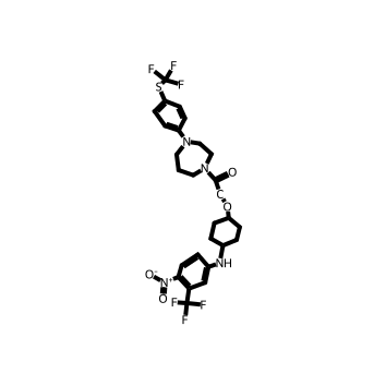 O=C(COC1CCC(Nc2ccc([N+](=O)[O-])c(C(F)(F)F)c2)CC1)N1CCCN(c2ccc(SC(F)(F)F)cc2)CC1